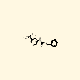 CN(C)C(=O)C[C@H](CO)NC(=O)OCc1ccccc1